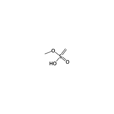 C=S(=O)(O)OC